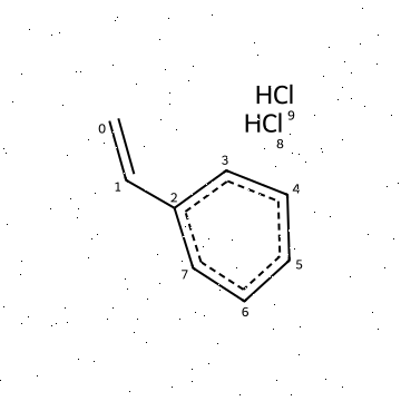 C=Cc1ccccc1.Cl.Cl